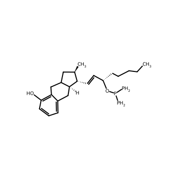 CCCCC[C@@H](/C=C/[C@H]1[C@H](C)CC2Cc3c(O)cccc3C[C@@H]21)OP(P)P